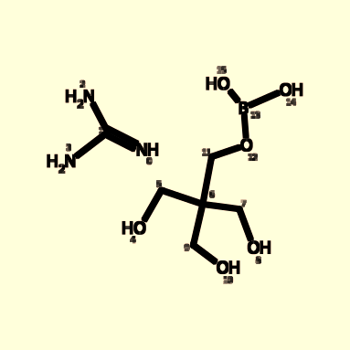 N=C(N)N.OCC(CO)(CO)COB(O)O